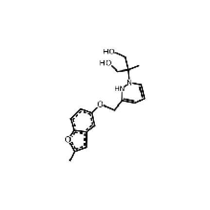 Cc1cc2cc(OCC3=CC=CN(C(C)(CO)CO)N3)ccc2o1